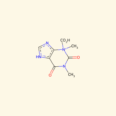 CN1C(=O)c2[nH]cnc2[N+](C)(C(=O)O)C1=O